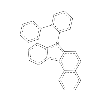 c1ccc(-c2ccccc2-n2c3ccccc3c3c4ccccc4ccc32)cc1